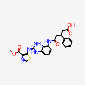 COC(=O)c1ncsc1/N=C(/N)Nc1cccc(NC(=O)CC(CC(=O)O)c2ccccc2)c1